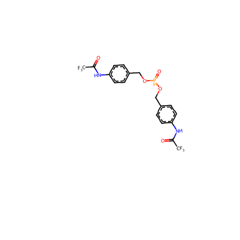 O=C(Nc1ccc(CO[PH](=O)OCc2ccc(NC(=O)C(F)(F)F)cc2)cc1)C(F)(F)F